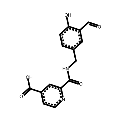 O=Cc1cc(CNC(=O)c2cc(C(=O)O)ccn2)ccc1O